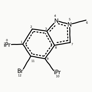 CC(C)c1cc2nn(C)cc2c(C(C)C)c1Br